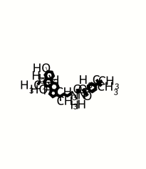 CC[C@H]1[C@@H](O)[C@@H]2[C@H](CC[C@]3(C)C([C@H](C)CCCNC(=O)NS(=O)(=O)c4ccc(C(C)(C)C)cc4)CC[C@@H]23)[C@@]2(C)CC[C@@H](O)C[C@@H]12